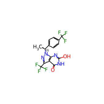 C[C@@H](c1ccc(C(F)(F)F)cc1)n1nc(C(F)(F)F)c2c(=O)[nH]c(O)nc21